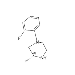 C[C@@H]1CN(c2ccccc2F)CCN1